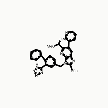 CCCCc1nc2cc(-c3cccnc3)c(C(OC)OC)nc2n1Cc1ccc(-c2ccccc2)c(-c2nnn[nH]2)c1